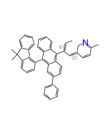 C/C=C(\C=C1\C=CC(C)=NC1)c1c2ccccc2c(-c2cccc3c2-c2ccccc2C3(C)C)c2cc(-c3ccccc3)ccc12